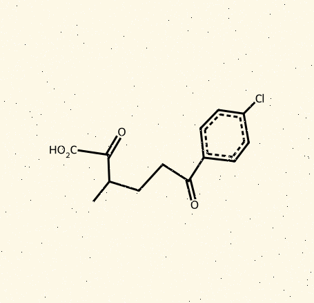 CC(CCC(=O)c1ccc(Cl)cc1)C(=O)C(=O)O